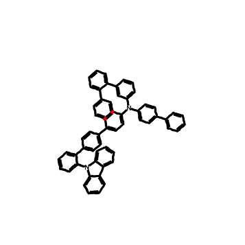 c1ccc(-c2ccc(N(c3ccc(-c4ccc(-c5ccccc5-n5c6ccccc6c6ccccc65)cc4)cc3)c3cccc(-c4ccccc4-c4ccccc4)c3)cc2)cc1